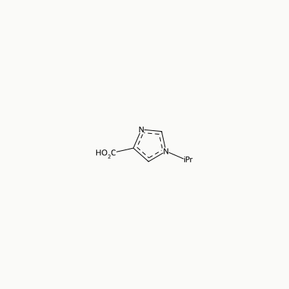 CC(C)n1cnc(C(=O)O)c1